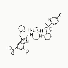 COc1cc(C(=O)O)cc2c1nc(CN1CCN(c3cccc4c3O[C@](C)(c3ccc(Cl)cn3)O4)[C@@H]3CC[C@H]31)n2C[C@@H]1CCCO1